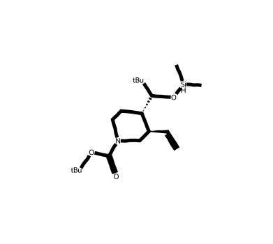 C=C[C@H]1CN(C(=O)OC(C)(C)C)CC[C@@H]1C(O[SiH](C)C)C(C)(C)C